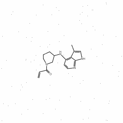 C=CC(=O)N1CCCC(Nc2ccnc3[nH]cc(C)c23)C1